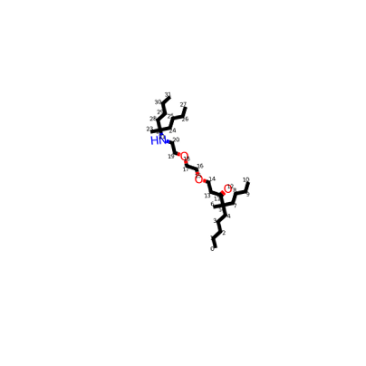 CCCCCC(C)(CCCC)C(=O)CCOCCOCCNC(C)(CCCC)CCCC